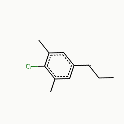 CC[CH]c1cc(C)c(Cl)c(C)c1